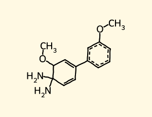 COc1cccc(C2=CC(OC)C(N)(N)C=C2)c1